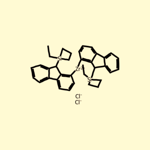 CC[Si]1(C2c3ccccc3-c3ccc[c]([Zr+2][c]4cccc5c4C([Si]4(CC)CCC4)c4ccccc4-5)c32)CCC1.[Cl-].[Cl-]